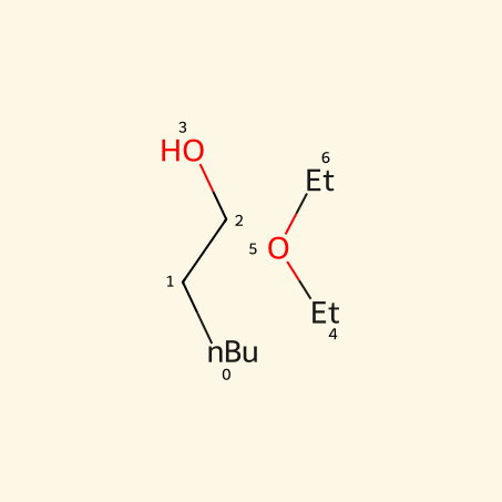 CCCCCCO.CCOCC